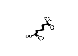 CCC(=O)CCCC(=O)C(C)CC